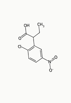 CCC(C(=O)O)c1cc([N+](=O)[O-])ccc1Cl